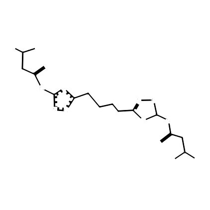 CC(C)CC(=O)Nc1nnc(CCCCC2=NNC(NC(=O)CC(C)C)S2)s1